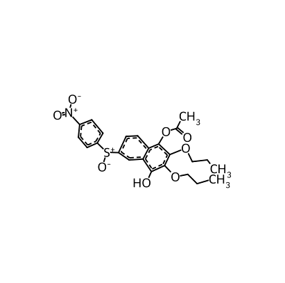 CCCOc1c(OCCC)c(OC(C)=O)c2ccc([S+]([O-])c3ccc([N+](=O)[O-])cc3)cc2c1O